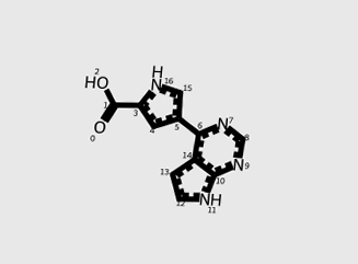 O=C(O)c1cc(-c2ncnc3[nH]ccc23)c[nH]1